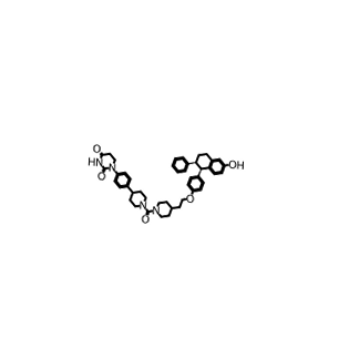 O=C1CCN(c2ccc(C3CCN(C(=O)N4CCC(CCOc5ccc([C@@H]6c7ccc(O)cc7CC[C@@H]6c6ccccc6)cc5)CC4)CC3)cc2)C(=O)N1